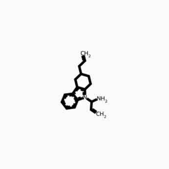 C=CCC1CCc2c(c3ccccc3n2C(N)C=C)C1